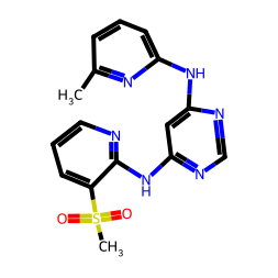 Cc1cccc(Nc2cc(Nc3ncccc3S(C)(=O)=O)ncn2)n1